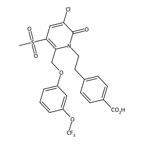 CS(=O)(=O)c1cc(Cl)c(=O)n(CCc2ccc(C(=O)O)cc2)c1COc1cccc(OC(F)(F)F)c1